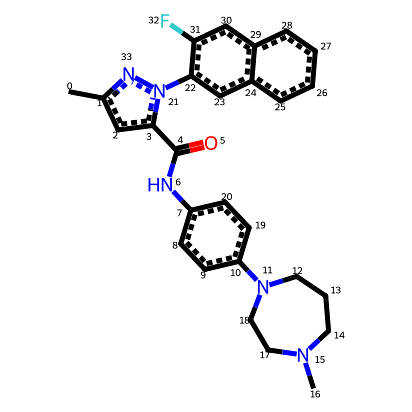 Cc1cc(C(=O)Nc2ccc(N3CCCN(C)CC3)cc2)n(-c2cc3ccccc3cc2F)n1